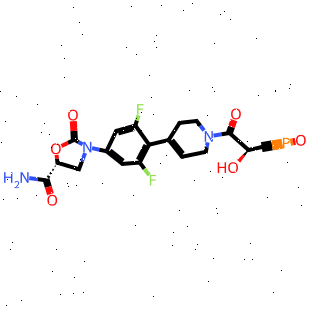 NC(=O)[C@H]1CN(c2cc(F)c(C3=CCN(C(=O)[C@H](O)C#P=O)CC3)c(F)c2)C(=O)O1